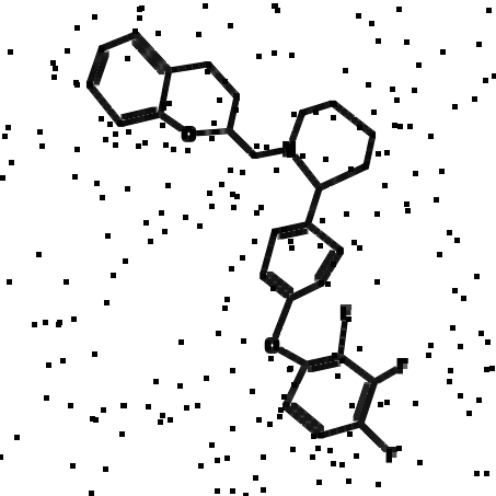 Fc1ccc(Oc2ccc(C3CCCCN3CC3CCc4ccccc4O3)cc2)c(F)c1F